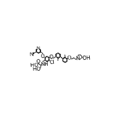 Cc1c(COc2cc(OCc3cncc(C#N)c3)c(CNC(CO)C(=O)O)cc2Cl)cccc1-c1cccc(OCCCN2CC[C@@H](O)C2)c1C